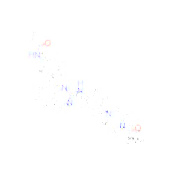 C=CC(=O)Nc1cccc(-c2cccc3cnc(Nc4ccc(N5CCN(C(=O)OC)CC5)cc4)nc23)c1